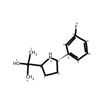 CC(C)(O)C1CC[C@@H](c2cccc(F)c2)N1